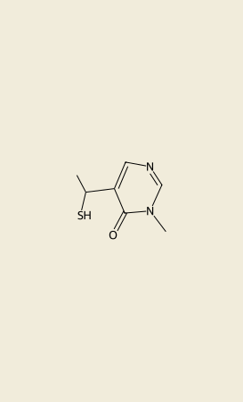 CC(S)c1cncn(C)c1=O